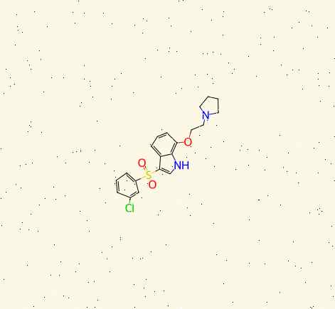 O=S(=O)(c1cccc(Cl)c1)c1c[nH]c2c(OCCN3CCCC3)cccc12